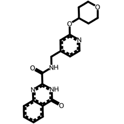 O=C(NCc1ccnc(OC2CCOCC2)c1)c1nc2ccccc2c(=O)[nH]1